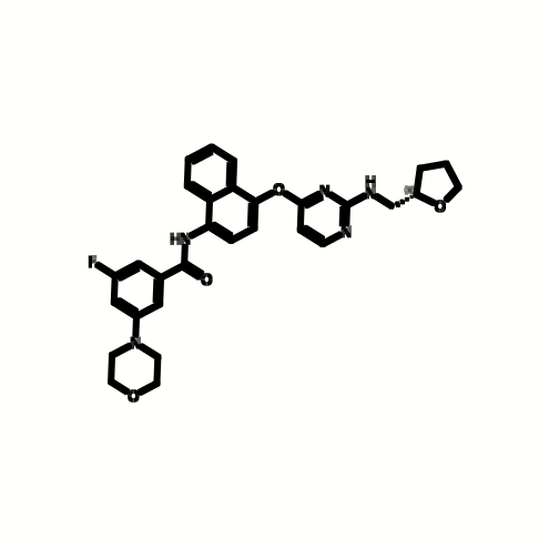 O=C(Nc1ccc(Oc2ccnc(NC[C@@H]3CCCO3)n2)c2ccccc12)c1cc(F)cc(N2CCOCC2)c1